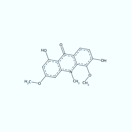 COc1cc(O)c2c(=O)c3ccc(O)c(OC)c3n(C)c2c1